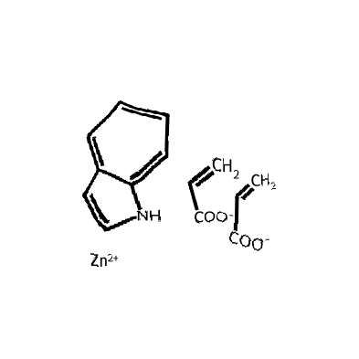 C=CC(=O)[O-].C=CC(=O)[O-].[Zn+2].c1ccc2[nH]ccc2c1